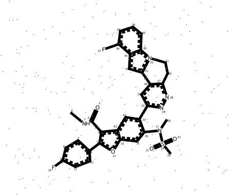 CNC(=O)c1c(-c2ccc(F)cc2)oc2cc(N(C)S(C)(=O)=O)c(-c3cc4c(nn3)CCn3c-4cc4c(F)cccc43)cc12